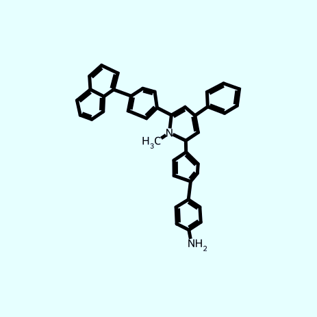 CN1C(c2ccc(-c3cccc4ccccc34)cc2)=CC(c2ccccc2)=CC1c1ccc(-c2ccc(N)cc2)cc1